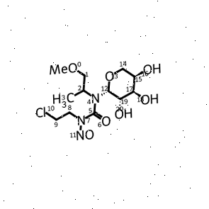 COCC(C)N(C(=O)N(CCCl)N=O)[C@@H]1OC[C@@H](O)[C@@H](O)[C@@H]1O